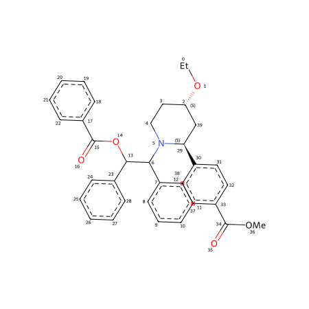 CCO[C@H]1CCN(C(c2ccccc2)C(OC(=O)c2ccccc2)c2ccccc2)[C@H](c2ccc(C(=O)OC)cc2)C1